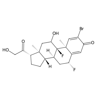 C[C@]12CC(O)[C@@]3(F)[C@@H](C[C@@H](F)C4=CC(=O)C(Br)=C[C@@]43C)[C@@H]1CC[C@@H]2C(=O)CO